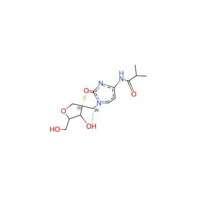 CC(C)C(=O)Nc1ccn([C@H](C)[C@]2(F)COC(CO)C2O)c(=O)n1